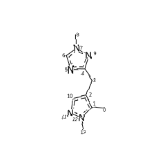 Cc1c(Cc2ncn(C)n2)cnn1C